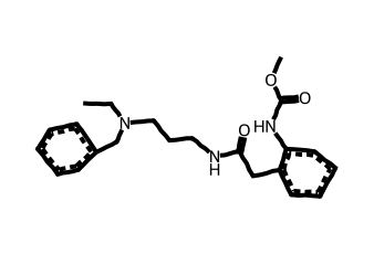 CCN(CCCNC(=O)Cc1ccccc1NC(=O)OC)Cc1ccccc1